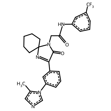 Cc1cncn1-c1cccc(C2=NC3(CCCCC3)N(CC(=O)Nc3cccc(C(F)(F)F)c3)C2=O)c1